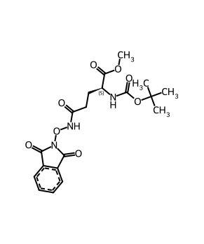 COC(=O)[C@H](CCC(=O)NON1C(=O)c2ccccc2C1=O)NC(=O)OC(C)(C)C